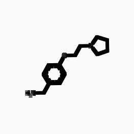 NCc1ccc(OCCN2CCCC2)cc1